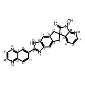 CN1C(=O)C2(Cc3cc4nc(-c5ccc6nccnc6c5)[nH]c4cc3C2)c2cccnc21